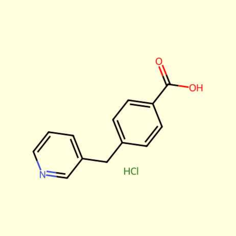 Cl.O=C(O)c1ccc(Cc2cccnc2)cc1